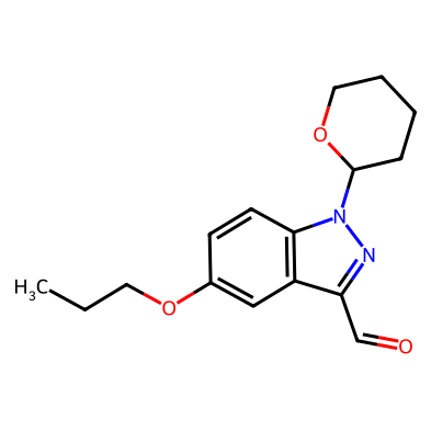 CCCOc1ccc2c(c1)c(C=O)nn2C1CCCCO1